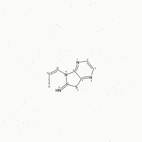 N=c1sc2nccnc2n1/C=C\I